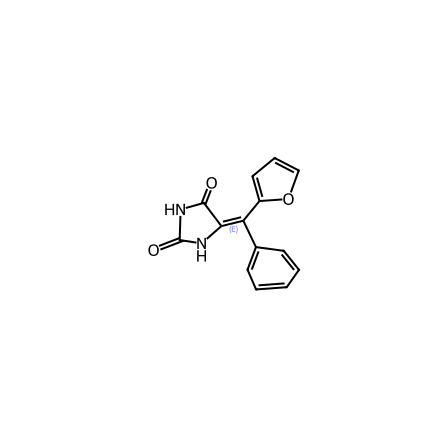 O=C1NC(=O)/C(=C(/c2ccccc2)c2ccco2)N1